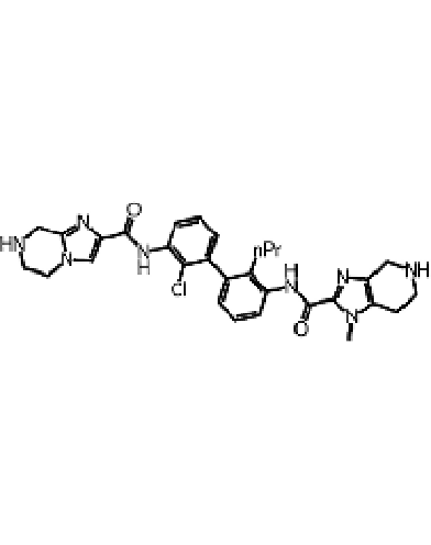 CCCc1c(NC(=O)c2nc3c(n2C)CCNC3)cccc1-c1cccc(NC(=O)c2cn3c(n2)CNCC3)c1Cl